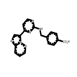 O=C(O)c1ccc(CNc2nccc(-c3cnc4cccnn34)n2)cc1